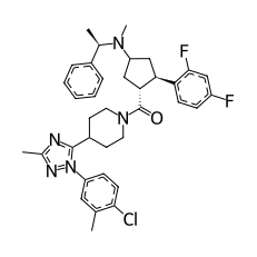 Cc1nc(C2CCN(C(=O)[C@@H]3CC(N(C)[C@H](C)c4ccccc4)C[C@H]3c3ccc(F)cc3F)CC2)n(-c2ccc(Cl)c(C)c2)n1